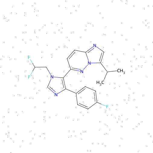 CC(C)c1cnc2ccc(-c3c(-c4ccc(F)cc4)ncn3CC(F)F)nn12